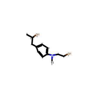 CCN(CCS)c1ccc(CC(C)S)cc1